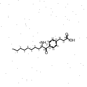 CCCCCCCCC(N)C(=O)c1ccc(CCC(=O)O)cc1